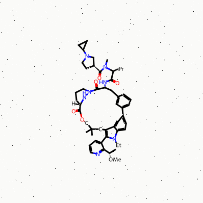 CCn1c(-c2cccnc2[C@H](C)OC)c2c3cc(ccc31)-c1cccc(c1)C[C@H](NC(=O)C(C(C)C)N(C)C(=O)[C@H]1CCN(C3CC3)C1)C(=O)N1CCC[C@H](N1)C(=O)OCC(C)(C)C2